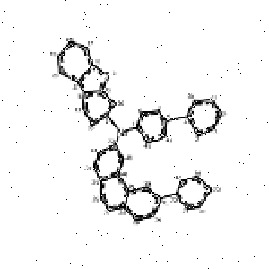 c1ccc(-c2ccc(N(c3ccc4c(c3)sc3ccccc34)c3ccc4ccc5ccc(-c6ccccc6)cc5c4c3)cc2)cc1